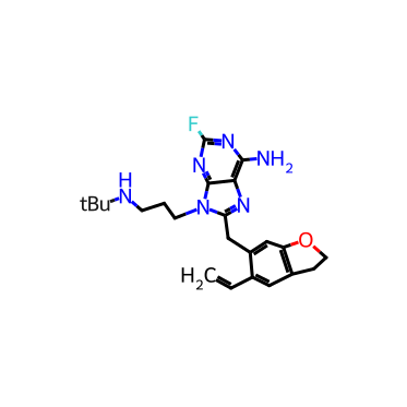 C=Cc1cc2c(cc1Cc1nc3c(N)nc(F)nc3n1CCCNC(C)(C)C)OCC2